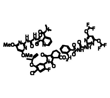 C#CC(C)Oc1cc(N2C(=O)C3=C(CCCC3)C2=O)c(F)cc1Cl.COc1cc(OC)nc(NC(=O)NS(=O)(=O)c2ncccc2C(=O)N(C)C)n1.O=C(Nc1nc(OC(F)F)cc(OC(F)F)n1)NS(=O)(=O)c1ccccc1C(=O)O